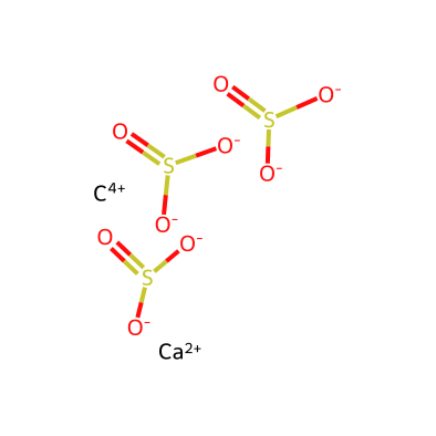 O=S([O-])[O-].O=S([O-])[O-].O=S([O-])[O-].[C+4].[Ca+2]